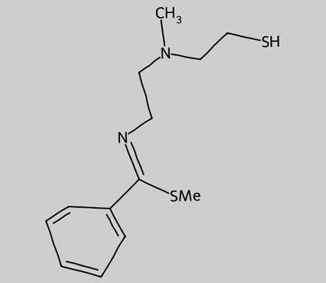 CS/C(=N\CCN(C)CCS)c1ccccc1